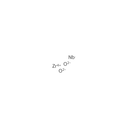 [Nb].[O-2].[O-2].[Zr+4]